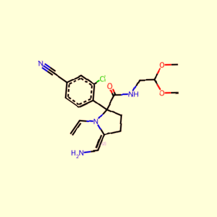 C=CN1/C(=C\N)CCC1(C(=O)NCC(OC)OC)c1ccc(C#N)cc1Cl